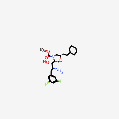 CC(C)(C)OC(=O)N1C[C@H](CCC2CCCCC2)OC[C@@H]1[C@@H](O)[C@@H](N)Cc1cc(F)cc(F)c1